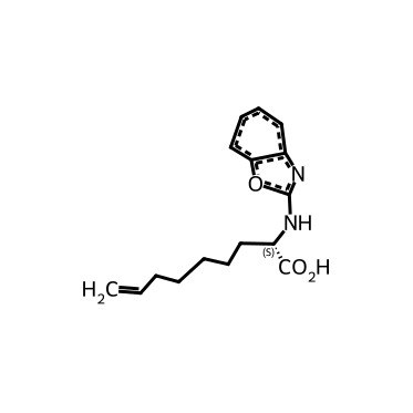 C=CCCCCC[C@H](Nc1nc2ccccc2o1)C(=O)O